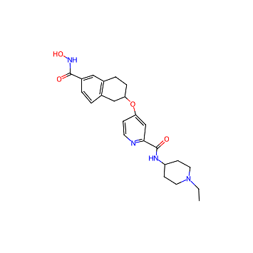 CCN1CCC(NC(=O)c2cc(OC3CCc4cc(C(=O)NO)ccc4C3)ccn2)CC1